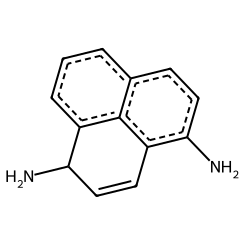 Nc1ccc2cccc3c2c1C=CC3N